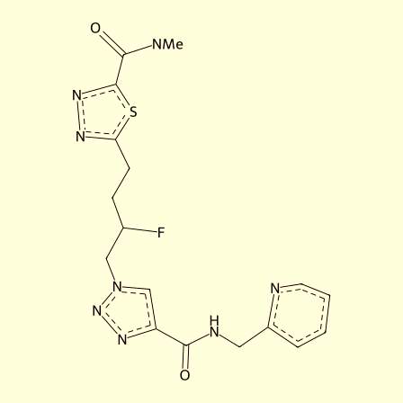 CNC(=O)c1nnc(CCC(F)Cn2cc(C(=O)NCc3ccccn3)nn2)s1